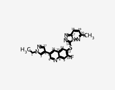 CCn1cc(-c2cnc3cc(F)c(Sc4nnc5ccc(C)nn45)cc3c2)cn1